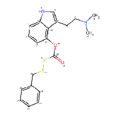 CN(C)CCc1c[nH]c2cccc(OC(=O)SSCc3ccccc3)c12